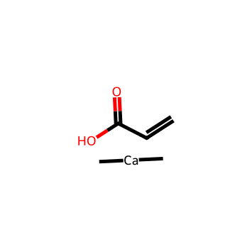 C=CC(=O)O.[CH3][Ca][CH3]